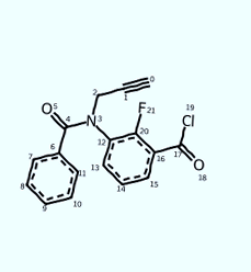 C#CCN(C(=O)c1ccccc1)c1cccc(C(=O)Cl)c1F